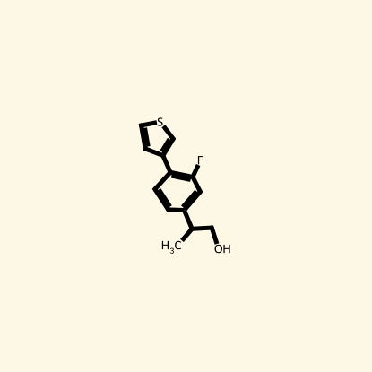 CC(CO)c1ccc(-c2ccsc2)c(F)c1